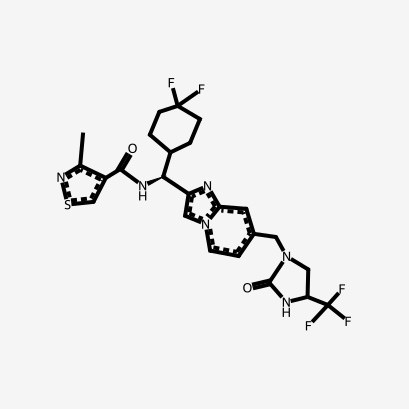 Cc1nscc1C(=O)N[C@H](c1cn2ccc(CN3CC(C(F)(F)F)NC3=O)cc2n1)C1CCC(F)(F)CC1